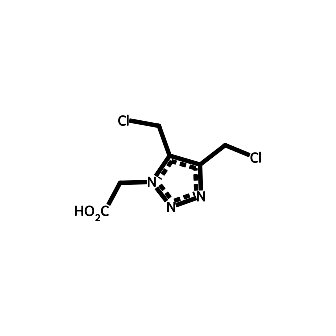 O=C(O)Cn1nnc(CCl)c1CCl